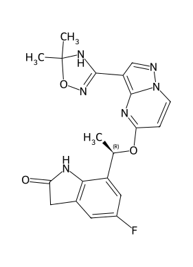 C[C@@H](Oc1ccn2ncc(C3=NOC(C)(C)N3)c2n1)c1cc(F)cc2c1NC(=O)C2